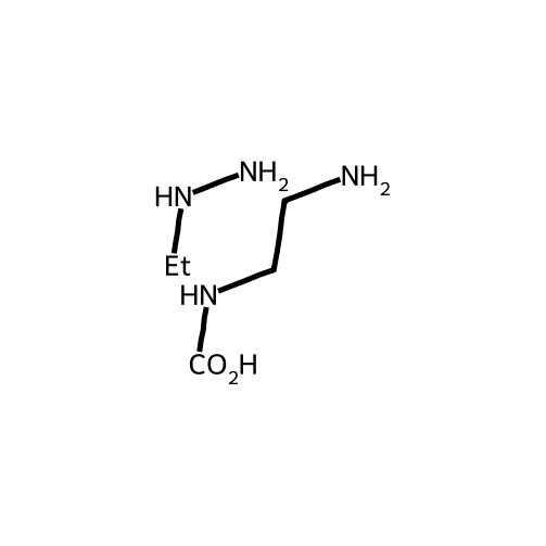 CCNN.NCCNC(=O)O